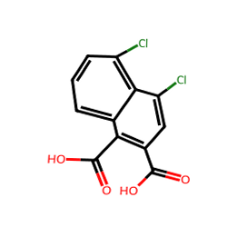 O=C(O)c1cc(Cl)c2c(Cl)cccc2c1C(=O)O